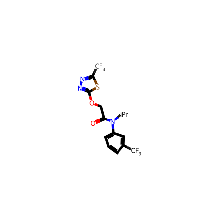 CC(C)N(C(=O)COc1nnc(C(F)(F)F)s1)c1cccc(C(F)(F)F)c1